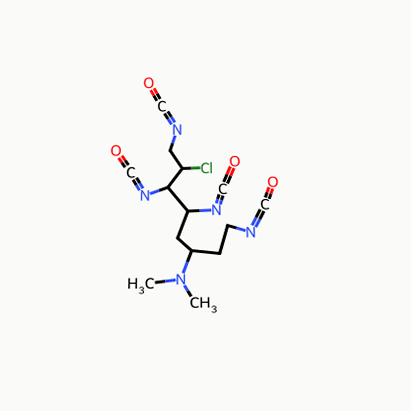 CN(C)C(CCN=C=O)CC(N=C=O)C(N=C=O)C(Cl)CN=C=O